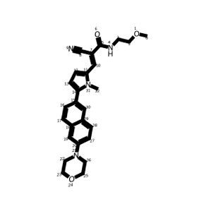 COCCNC(=O)/C(C#N)=C/c1ccc(-c2ccc3cc(N4CCOCC4)ccc3c2)n1C